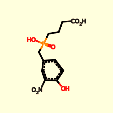 O=C(O)CCCP(=O)(O)Cc1ccc(O)c([N+](=O)[O-])c1